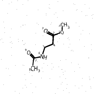 COC(=O)CCNC(C)=O